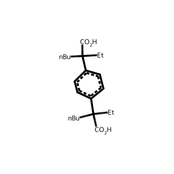 CCCCC(CC)(C(=O)O)c1ccc(C(CC)(CCCC)C(=O)O)cc1